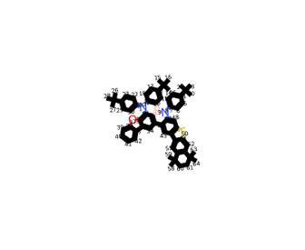 CC(C)(C)c1ccc(N2B3c4cc(C(C)(C)C)ccc4N(c4ccc(C(C)(C)C)cc4)c4c3c(cc3c4oc4ccccc43)-c3cc4c(cc32)sc2cc3c(cc24)C(C)(C)CCC3(C)C)cc1